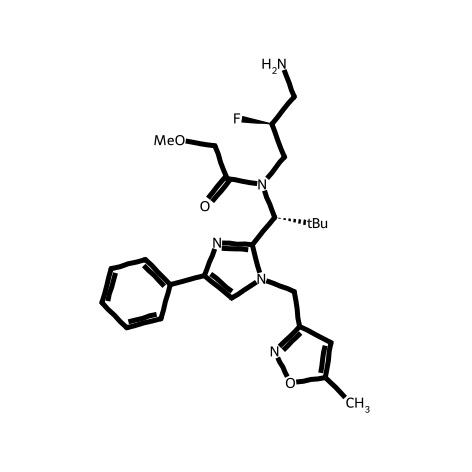 COCC(=O)N(C[C@@H](F)CN)[C@@H](c1nc(-c2ccccc2)cn1Cc1cc(C)on1)C(C)(C)C